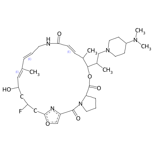 CC1=C\C(O)CC(F)Cc2nc(co2)C(=O)N2CCCC2C(=O)OC(C(C)CN2CCC(N(C)C)CC2)C(C)/C=C/C(=O)NC\C=C\1